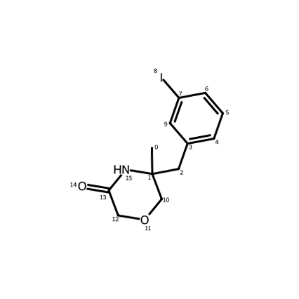 CC1(Cc2cccc(I)c2)COCC(=O)N1